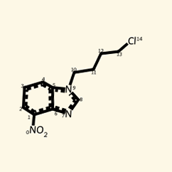 O=[N+]([O-])c1cccc2c1ncn2CCCCCl